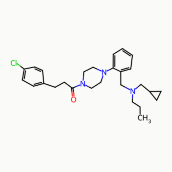 CCCN(Cc1ccccc1N1CCN(C(=O)CCc2ccc(Cl)cc2)CC1)CC1CC1